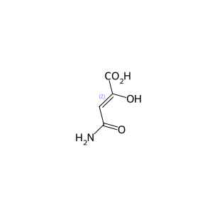 NC(=O)/C=C(\O)C(=O)O